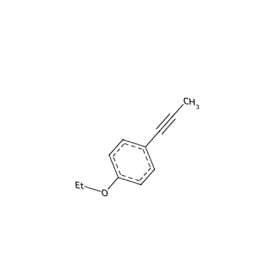 CC#Cc1ccc(OCC)cc1